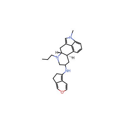 CCCN1CC(NC2=C3C=COC=C3CC2)C[C@@H]2c3cccc4c3c(cn4C)C[C@H]21